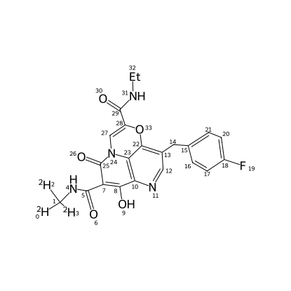 [2H]C([2H])([2H])NC(=O)c1c(O)c2ncc(Cc3ccc(F)cc3)c3c2n(c1=O)C=C(C(=O)NCC)O3